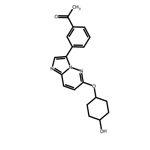 CC(=O)c1cccc(-c2cnc3ccc(OC4CCC(O)CC4)nn23)c1